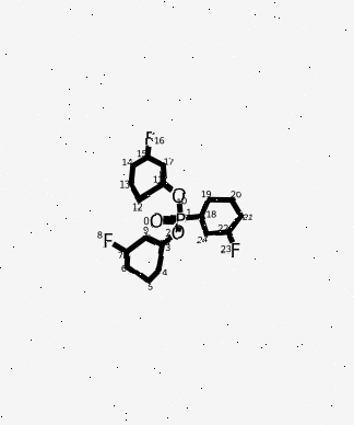 O=P(OC1CCCC(F)C1)(OC1CCCC(F)C1)C1CCCC(F)C1